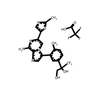 Cc1ncc(-c2cn3c(-c4cc(C(O)(CO)C(F)(F)F)ccc4C)cnc3c(N)n2)s1.O=C(O)C(F)(F)F